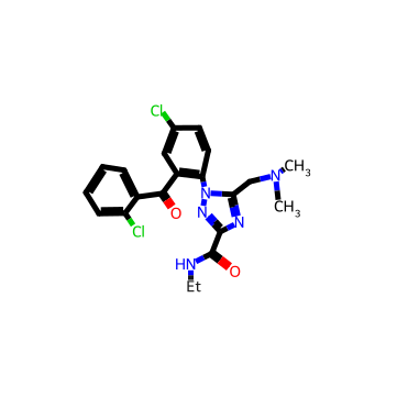 CCNC(=O)c1nc(CN(C)C)n(-c2ccc(Cl)cc2C(=O)c2ccccc2Cl)n1